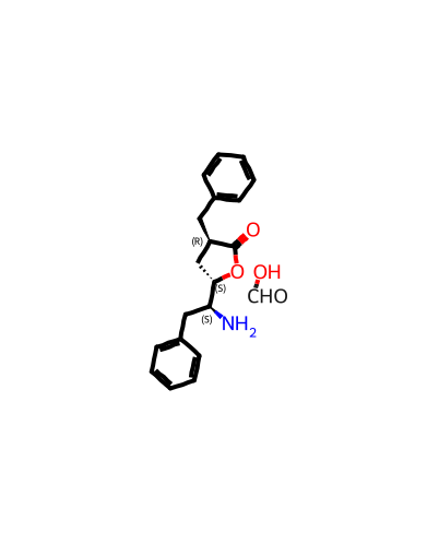 N[C@@H](Cc1ccccc1)[C@@H]1C[C@@H](Cc2ccccc2)C(=O)O1.O=CO